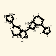 c1csc(-c2cccc3[nH]c(-c4n[nH]c5cnc(-c6cn[nH]c6)cc45)cc23)c1